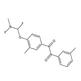 Cc1cccc(C(=O)C(=O)c2ccc(OC(F)N(C)F)c(C)c2)c1